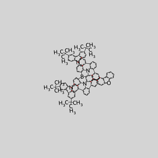 CC(C)(C)c1ccc2c(c1)c1cc(C(C)(C)C)ccc1n2-c1ccc2c(c1)N(c1c(-c3ccccc3)cccc1-c1ccccc1)c1cc(-c3ccc4oc5ccccc5c4c3)cc3c1B2c1ccc(-n2c4ccc(C(C)(C)C)cc4c4cc(C(C)(C)C)ccc42)cc1N3c1c(-c2ccccc2)cccc1-c1ccccc1